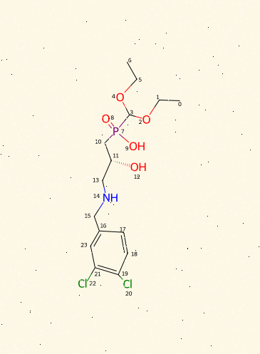 CCOC(OCC)P(=O)(O)C[C@H](O)CNCc1ccc(Cl)c(Cl)c1